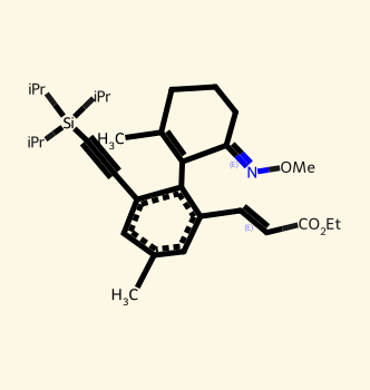 CCOC(=O)/C=C/c1cc(C)cc(C#C[Si](C(C)C)(C(C)C)C(C)C)c1C1=C(C)CCC/C1=N\OC